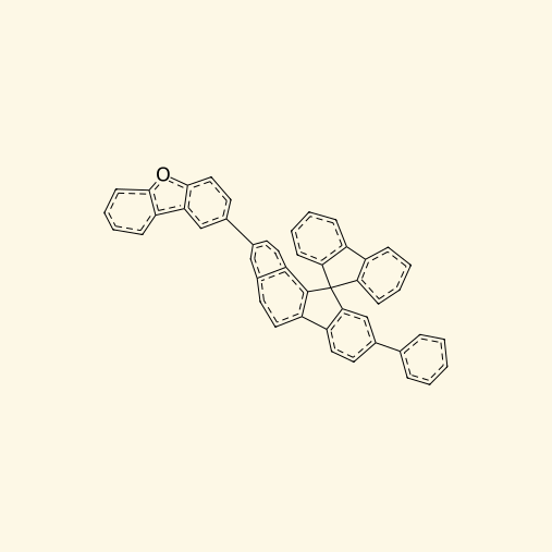 c1ccc(-c2ccc3c(c2)C2(c4ccccc4-c4ccccc42)c2c-3ccc3cc(-c4ccc5oc6ccccc6c5c4)ccc23)cc1